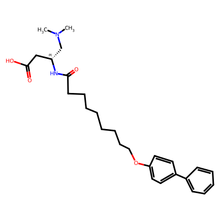 CN(C)C[C@@H](CC(=O)O)NC(=O)CCCCCCCCOc1ccc(-c2ccccc2)cc1